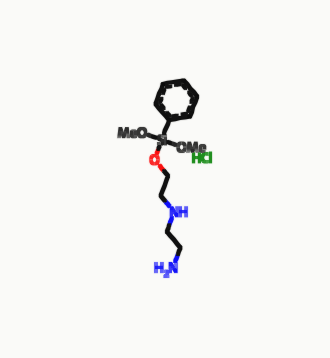 CO[Si](OC)(OCCNCCN)c1ccccc1.Cl